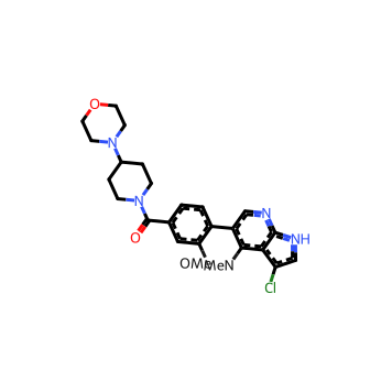 CNc1c(-c2ccc(C(=O)N3CCC(N4CCOCC4)CC3)cc2OC)cnc2[nH]cc(Cl)c12